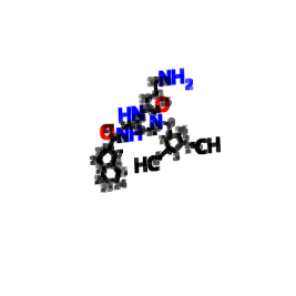 C#Cc1cc(C#C)cc(CN2CC[C@@H](CNC(=O)c3ccc4ccccc4c3)N[C@@H](CCCN)C2=O)c1